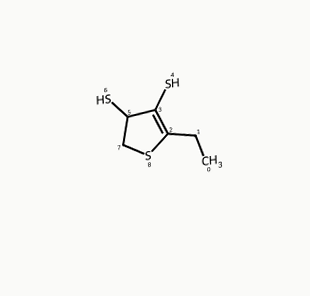 CCC1=C(S)C(S)CS1